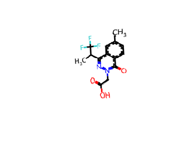 Cc1ccc2c(=O)n(CC(=O)O)nc(C(C)C(F)(F)F)c2c1